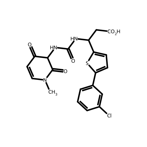 CN1C=CC(=O)C(NC(=O)NC(CC(=O)O)c2ccc(-c3cccc(Cl)c3)s2)C1=O